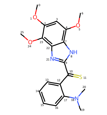 COc1cc(OC)c2[nH]c(C(=S)c3ccccc3N(C)C)nc2c1OC